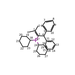 CC(C)=C(C(c1ccccc1)c1ccccc1)P(C1CCCCC1)C1CCCCC1